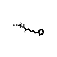 NC(=S)NNC(=O)CCCCc1ccccc1